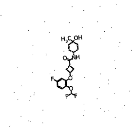 CC1(O)CCC(NC(=O)C2CC(Oc3cc(F)ccc3OC(F)F)C2)CC1